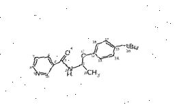 CC(NC(=O)c1cccnc1)Oc1ccc(C(C)(C)C)cc1